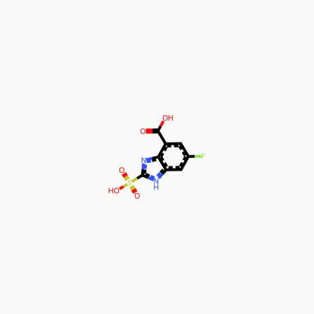 O=C(O)c1cc(F)cc2[nH]c(S(=O)(=O)O)nc12